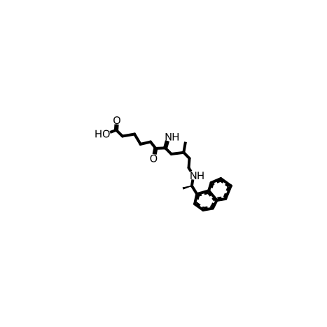 CC(CCN[C@H](C)c1cccc2ccccc12)CC(=N)C(=O)CCCCC(=O)O